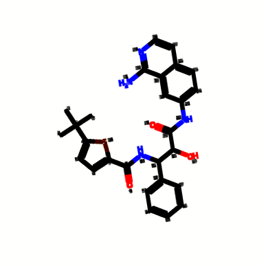 CC(C)(C)c1ccc(C(=O)NC(c2ccccc2)C(O)C(=O)Nc2ccc3ccnc(N)c3c2)s1